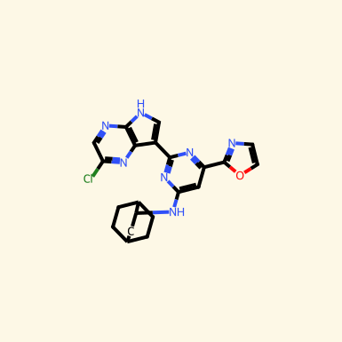 Clc1cnc2[nH]cc(-c3nc(NC4CC5CCC4CC5)cc(-c4ncco4)n3)c2n1